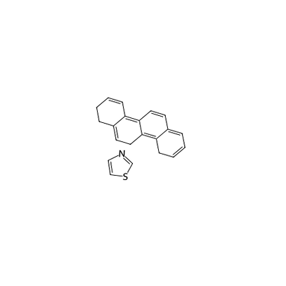 C1=CCc2c3c(ccc2=C1)=C1C=CCCC1=CC3.c1cscn1